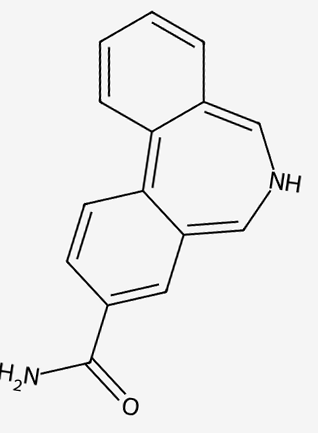 NC(=O)c1ccc2c(c1)=CNC=c1ccccc1=2